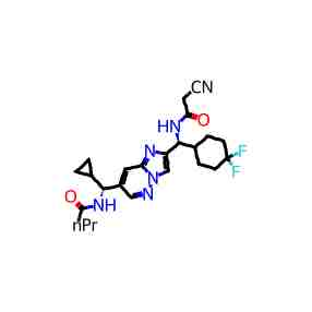 CCCC(=O)N[C@@H](c1cnn2cc([C@@H](NC(=O)CC#N)C3CCC(F)(F)CC3)nc2c1)C1CC1